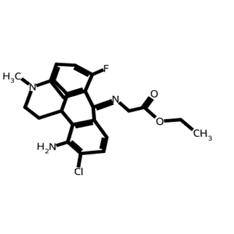 CCOC(=O)CN=C(c1ccccc1F)c1ccc(Cl)c(N)c1C1CCN(C)CC1